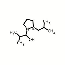 CC(C)C[C@@H]1CCCN1C(O)C(C)C